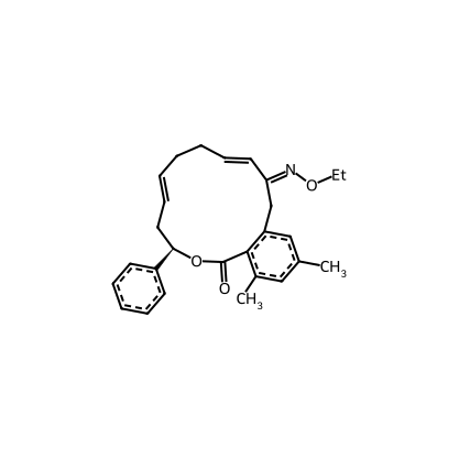 CCON=C1/C=C/CC/C=C/C[C@H](c2ccccc2)OC(=O)c2c(C)cc(C)cc2C1